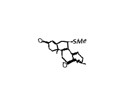 CS[C@@H]1CC2=CC(=O)CCC2(C)C2=C1C1=CC[C@@]3(C)CCC(=O)C13CC2